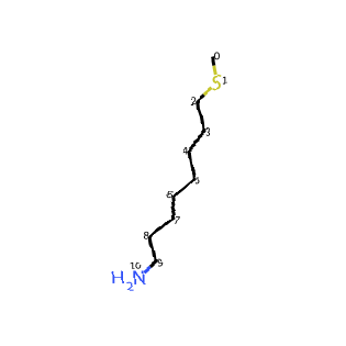 CSCCCCCCCCN